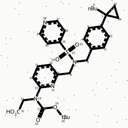 CCCCC1(c2ccc(CN(Cc3cccc(N(CC(=O)O)C(=O)OC(C)(C)C)n3)S(=O)(=O)c3ccncc3)cc2)CC1